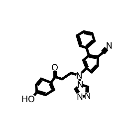 N#Cc1ccc(N(CCC(=O)c2ccc(O)cc2)n2cnnc2)cc1-c1ccccc1